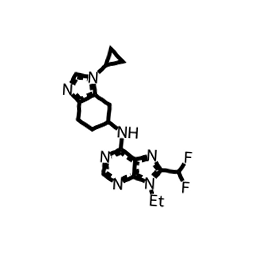 CCn1c(C(F)F)nc2c(NC3CCc4ncn(C5CC5)c4C3)ncnc21